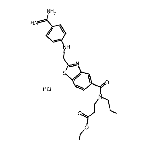 CCCN(CCC(=O)OCC)C(=O)c1ccc2sc(CNc3ccc(C(=N)N)cc3)nc2c1.Cl